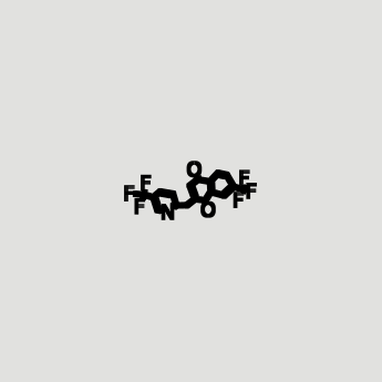 O=C1C=C(Cc2ccc(C(F)(F)F)cn2)C(=O)c2cc(C(F)(F)F)ccc21